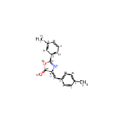 Cc1ccc(/C=C2\N=C(c3cccc(C)c3)OC2=O)cc1